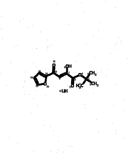 CC(C)(C)OC(=O)C(O)=CC(=O)c1ccco1.[LiH]